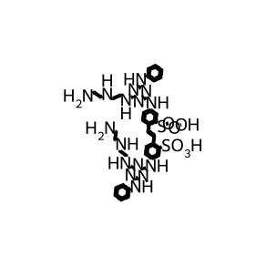 NCCNCCNc1nc(Nc2ccccc2)nc(Nc2ccc(/C=C/c3ccc(Nc4nc(NCCNCCN)nc(Nc5ccccc5)n4)cc3S(=O)(=O)O)c(SOOO)c2)n1